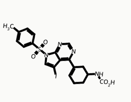 Cc1ccc(S(=O)(=O)n2cc(I)c3c(C4=CCCC(NC(=O)O)C4)ncnc32)cc1